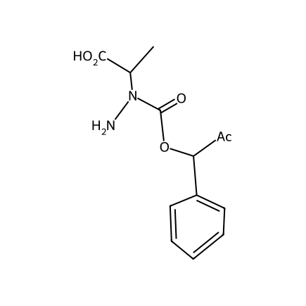 CC(=O)C(OC(=O)N(N)C(C)C(=O)O)c1ccccc1